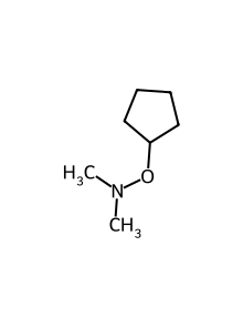 CN(C)OC1CCCC1